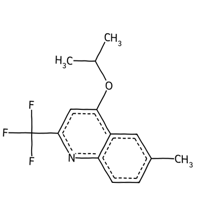 Cc1ccc2nc(C(F)(F)F)cc(OC(C)C)c2c1